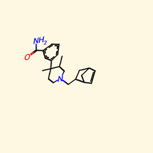 CC1CN(CC2CC3C=CC2C3)CCC1(C)c1cccc(C(N)=O)c1